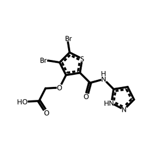 O=C(O)COc1c(C(=O)Nc2ccn[nH]2)sc(Br)c1Br